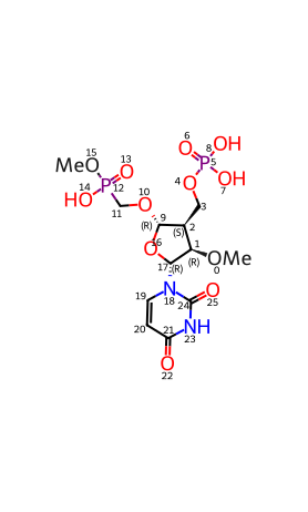 CO[C@@H]1[C@H](COP(=O)(O)O)[C@@H](OCP(=O)(O)OC)O[C@H]1n1ccc(=O)[nH]c1=O